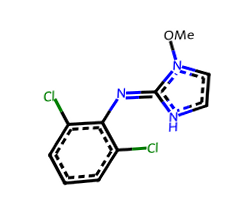 COn1cc[nH]c1=Nc1c(Cl)cccc1Cl